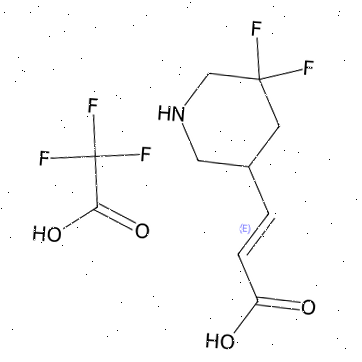 O=C(O)/C=C/C1CNCC(F)(F)C1.O=C(O)C(F)(F)F